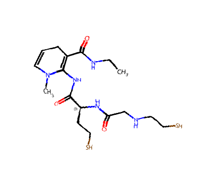 CCNC(=O)C1=C(NC(=O)[C@H](CCS)NC(=O)CNCCS)N(C)C=CC1